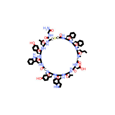 CCCC[C@H]1C(=O)N(C)CC(=O)N[C@@H](CC(=O)O)C(=O)N[C@@H](C(C)C)C(=O)N[C@@H](Cc2cccc3[nH]ccc23)C(=O)N[C@@H](Cc2ccc(O)cc2)C(=O)N(C)CC(=O)N[C@@H](Cc2c[nH]c3ccccc23)C(=O)N[C@@H](Cc2ccc(O)cc2)C(=O)N[C@@H](CC(C)C)C(=O)N[C@H](C(=O)NCC(N)=O)CSCC(=O)N[C@@H](Cc2ccccc2)C(=O)N(C)[C@@H](Cc2ccccc2)C(=O)N1C